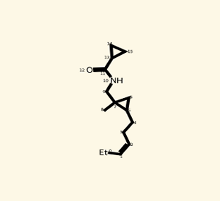 CC/C=C\CCC1CC1(C)CNC(=O)C1CC1